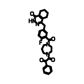 O=C(C(=O)N1CCCN(C(=O)c2cc(Cc3n[nH]c(=O)c4c3CCCC4)ccc2F)CC1)c1ccccc1